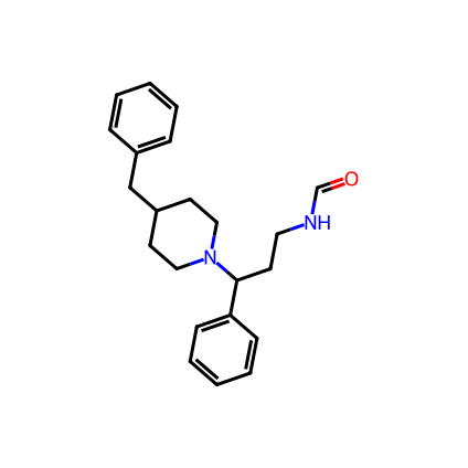 O=CNCCC(c1ccccc1)N1CCC(Cc2ccccc2)CC1